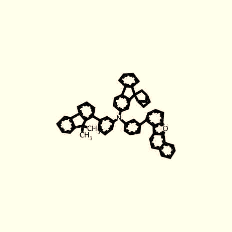 CC1(C)c2ccccc2-c2cccc(-c3cccc(N(c4cccc(-c5cccc6oc7c8ccccc8ccc7c56)c4)c4ccc5c(c4)C4(CC6CCC4C6)c4ccccc4-5)c3)c21